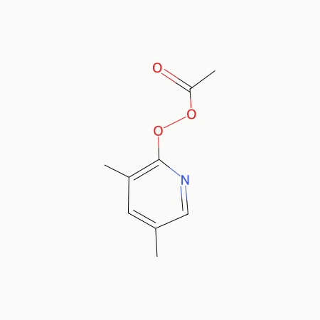 CC(=O)OOc1ncc(C)cc1C